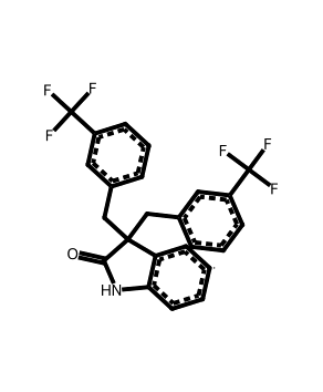 O=C1Nc2cc[c]cc2C1(Cc1cccc(C(F)(F)F)c1)Cc1cccc(C(F)(F)F)c1